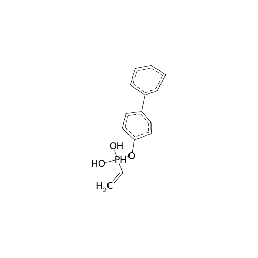 C=C[PH](O)(O)Oc1ccc(-c2ccccc2)cc1